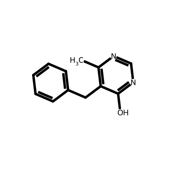 Cc1ncnc(O)c1Cc1ccccc1